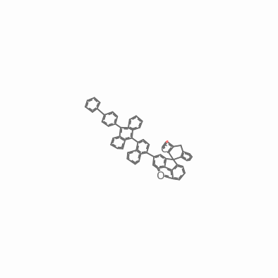 c1ccc(-c2ccc(-c3c4ccccc4c(-c4ccc(-c5cc6c7c(c5)oc5cccc(c57)C65c6ccccc6Cc6ccccc65)c5ccccc45)c4ccccc34)cc2)cc1